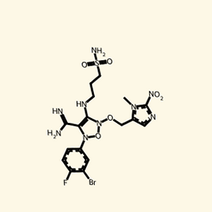 Cn1c(CON2ON(c3ccc(F)c(Br)c3)C(C(=N)N)=C2NCCCS(N)(=O)=O)cnc1[N+](=O)[O-]